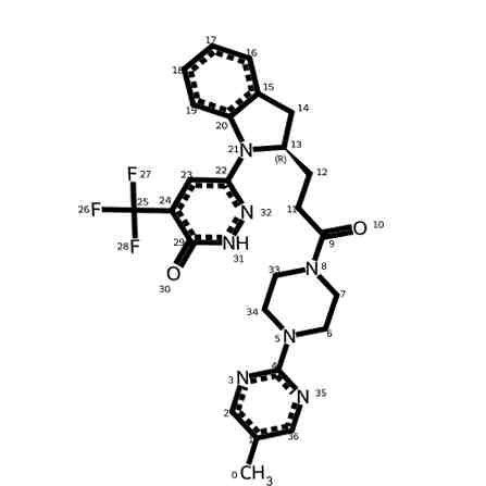 Cc1cnc(N2CCN(C(=O)CC[C@@H]3Cc4ccccc4N3c3cc(C(F)(F)F)c(=O)[nH]n3)CC2)nc1